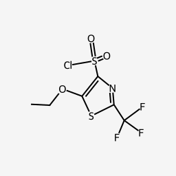 CCOc1sc(C(F)(F)F)nc1S(=O)(=O)Cl